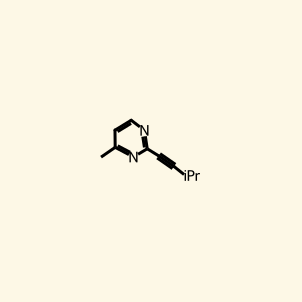 Cc1ccnc(C#CC(C)C)n1